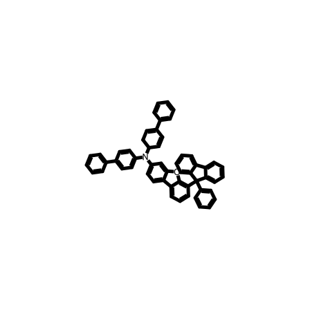 C1=CC(N(c2ccc(-c3ccccc3)cc2)c2ccc3c(c2)oc2c(C4(c5ccccc5)c5ccccc5-c5ccccc54)cccc23)CC=C1c1ccccc1